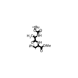 COC(=O)C(CC(C)C)NC(=O)C(C)NC(=O)OC(C)(C)C